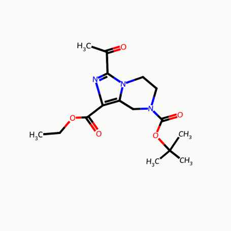 CCOC(=O)c1nc(C(C)=O)n2c1CN(C(=O)OC(C)(C)C)CC2